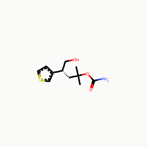 CC(C)(C[C@@H](CO)c1ccsc1)OC(N)=O